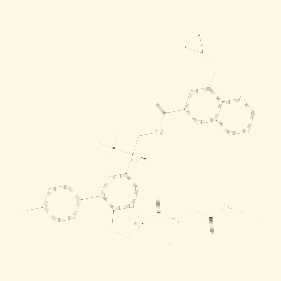 CNC(=O)CNC(=O)[C@@]1(C)COc2c1cc([C@@](O)(CNC(=O)c1cc(OC3CC3)c3ncccc3c1)C(F)(F)F)nc2-c1ccc(F)cc1